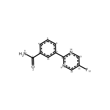 NC(=O)c1cccc(-c2ncc(F)cn2)c1